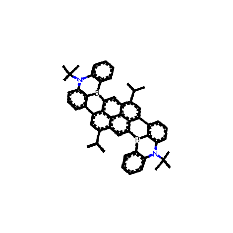 CC(C)c1cc2c3c(cc4c(C(C)C)cc5c6c(cc1c3c46)B1c3ccccc3N(C(C)(C)C)c3cccc-5c31)B1c3ccccc3N(C(C)(C)C)c3cccc-2c31